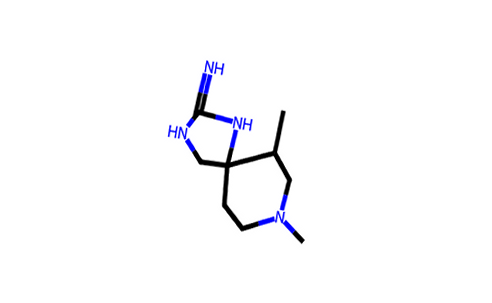 CC1CN(C)CCC12CNC(=N)N2